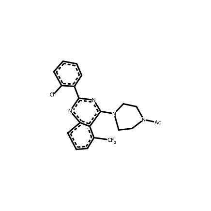 CC(=O)N1CCN(c2nc(-c3ccccc3Cl)nc3cccc(C(F)(F)F)c23)CC1